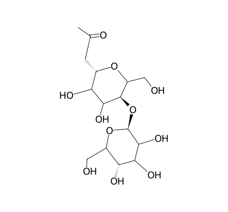 CC(=O)C[C@@H]1OC(CO)[C@@H](O[C@@H]2OC(CO)[C@@H](O)C(O)C2O)C(O)C1O